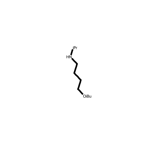 CC(C)COCCCCNC(C)C